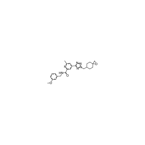 COc1cccc(CNC(=O)c2cc(-c3nnn(CC4CCC5(CC4)CO5)n3)cc(C)n2)c1